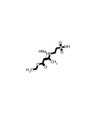 CCOC(=O)/C=C(\C)NCCS(=O)(=O)O.[NaH]